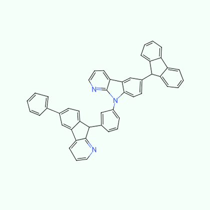 c1ccc(-c2ccc3c(c2)-c2cccnc2C3c2cccc(-n3c4ccc(C5c6ccccc6-c6ccccc65)cc4c4cccnc43)c2)cc1